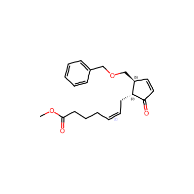 COC(=O)CCC/C=C\C[C@H]1C(=O)C=C[C@@H]1COCc1ccccc1